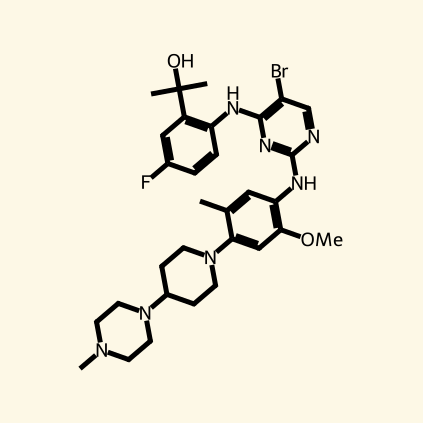 COc1cc(N2CCC(N3CCN(C)CC3)CC2)c(C)cc1Nc1ncc(Br)c(Nc2ccc(F)cc2C(C)(C)O)n1